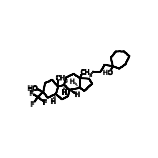 C[C@]12CC[C@@](O)(C(F)(F)F)C[C@@H]1CC[C@@H]1[C@@H]2CC[C@]2(C)[C@H](CCCC3(O)CCCCCC3)CC[C@@H]12